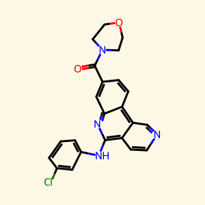 O=C(c1ccc2c(c1)nc(Nc1cccc(Cl)c1)c1ccncc12)N1CCOCC1